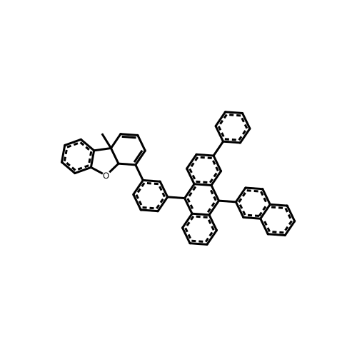 CC12C=CC=C(c3cccc(-c4c5ccccc5c(-c5ccc6ccccc6c5)c5cc(-c6ccccc6)ccc45)c3)C1Oc1ccccc12